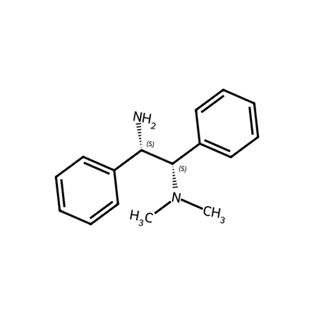 CN(C)[C@@H](c1ccccc1)[C@@H](N)c1ccccc1